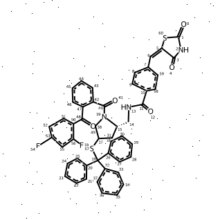 O=C1NC(=O)/C(=C\c2ccc(C(=O)NC[C@@H]3CC(SC(c4ccccc4)(c4ccccc4)c4ccccc4)CN3C(=O)c3ccccc3C(=O)c3ccc(F)cc3F)cc2)S1